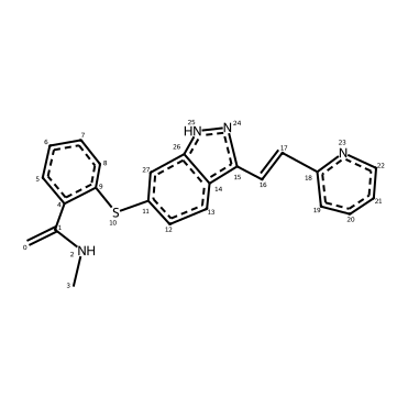 C=C(NC)c1ccccc1Sc1ccc2c(/C=C/c3ccccn3)n[nH]c2c1